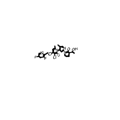 Cc1cnc(-n2cccc(C(C)O)c2=O)cc1-n1c(C)cc(OCc2ncc(F)cc2F)c(Cl)c1=O